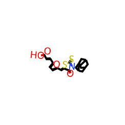 O=C(O)/C=C/c1ccc(/C=C2\SC(=S)N(C3C4CC5CC(C4)CC3C5)C2=O)o1